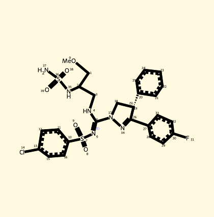 COCC(CN/C(=N\S(=O)(=O)c1ccc(Cl)cc1)N1C[C@H](c2ccccc2)C(c2ccc(F)cc2)=N1)NS(N)(=O)=O